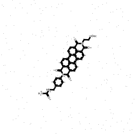 CCCCCCCCCCCCN1C(=O)c2ccc3c4ccc5c6c(ccc(c7ccc(c2c37)C1=O)c64)C(=O)N(c1ccc(CNC(N)=O)cc1)C5=O